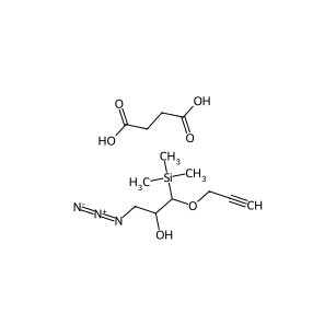 C#CCOC(C(O)CN=[N+]=[N-])[Si](C)(C)C.O=C(O)CCC(=O)O